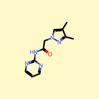 Cc1cn(CC(=O)Nc2ncccn2)nc1C